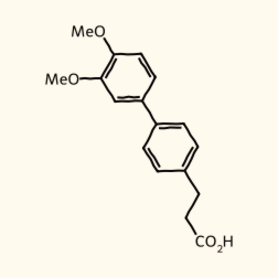 COc1ccc(-c2ccc(CCC(=O)O)cc2)cc1OC